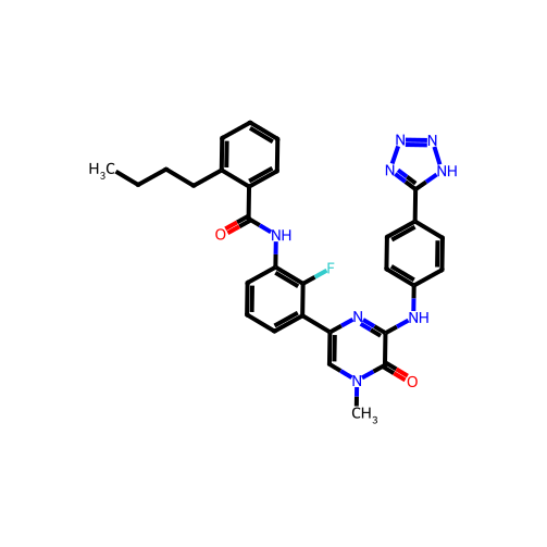 CCCCc1ccccc1C(=O)Nc1cccc(-c2cn(C)c(=O)c(Nc3ccc(-c4nnn[nH]4)cc3)n2)c1F